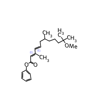 COC(C)(C)CCCC(C)C/C=C/C(C)=C/C(=O)Oc1ccccc1